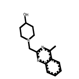 Cc1nc(CN2CCC(O)CC2)nc2ccccc12